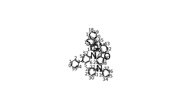 c1ccc(-c2ccc(N(c3ccc4c(c3)sc3ccccc34)c3cc(N(c4ccccc4)c4ccccc4)cc4oc5ccc6ccccc6c5c34)cc2)cc1